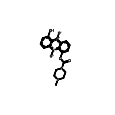 CN1CCN(C(=O)Oc2cccc3c2[n+]([O-])c2cccc(O)c2[n+]3[O-])CC1